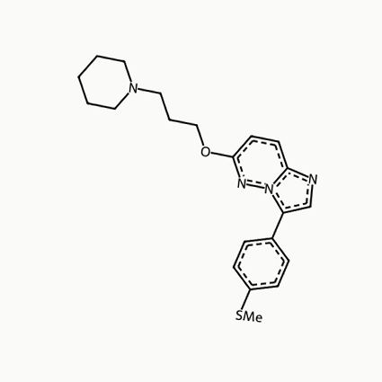 CSc1ccc(-c2cnc3ccc(OCCCN4CCCCC4)nn23)cc1